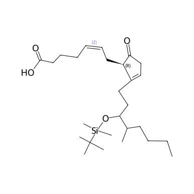 CCCCC(C)C(CCC1=CCC(=O)[C@@H]1C/C=C\CCCC(=O)O)O[Si](C)(C)C(C)(C)C